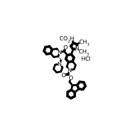 Cc1c(C(=O)O)cc(-c2cc3c(cc2C(=O)N2Cc4ccccc4C[C@H]2CN2CCCCC2)CN(C(=O)OCC2c4ccccc4-c4ccccc42)CC3)n1C.Cl